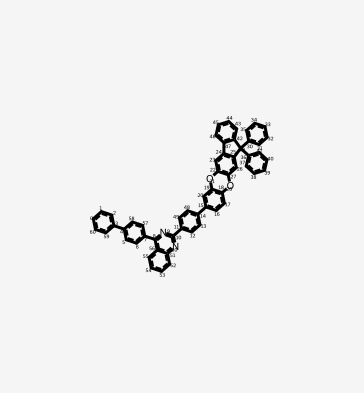 c1ccc(-c2ccc(-c3nc(-c4ccc(-c5ccc6c(c5)Oc5cc7c(cc5O6)C(c5ccccc5)(c5ccccc5)c5ccccc5-7)cc4)nc4ccccc34)cc2)cc1